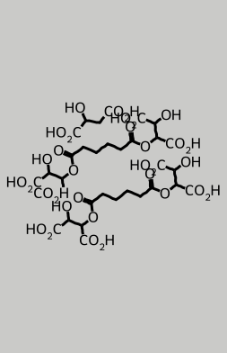 O=C(CCCCC(=O)OC(C(=O)O)C(O)C(=O)O)OC(C(=O)O)C(O)C(=O)O.O=C(CCCCC(=O)OC(C(=O)O)C(O)C(=O)O)OC(C(=O)O)C(O)C(=O)O.O=C(O)CC(O)C(=O)O